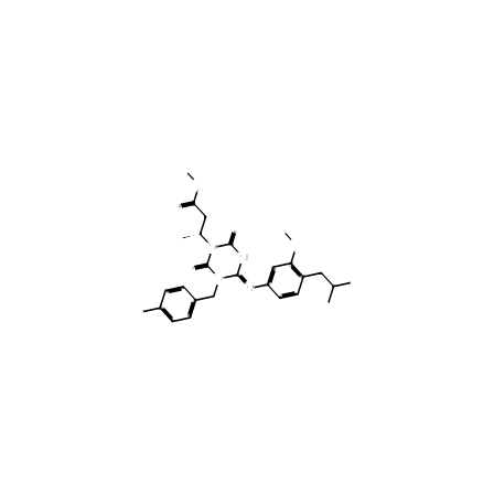 COC(=O)[C@H](C)[C@H](C)n1c(=O)[nH]/c(=N\c2ccc(CC(C)C)c(OC)c2)n(Cc2ccc(C)cc2)c1=O